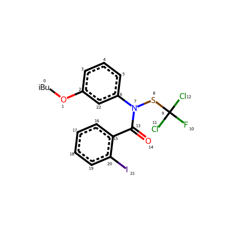 CCC(C)Oc1cccc(N(SC(F)(Cl)Cl)C(=O)c2ccccc2I)c1